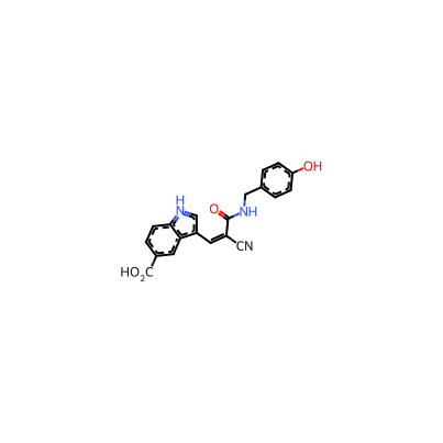 N#CC(=Cc1c[nH]c2ccc(C(=O)O)cc12)C(=O)NCc1ccc(O)cc1